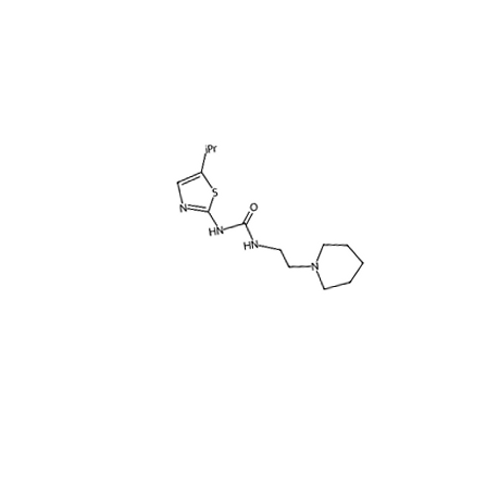 CC(C)c1cnc(NC(=O)NCCN2CCCCC2)s1